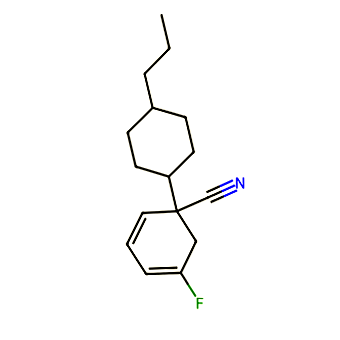 CCCC1CCC(C2(C#N)C=CC=C(F)C2)CC1